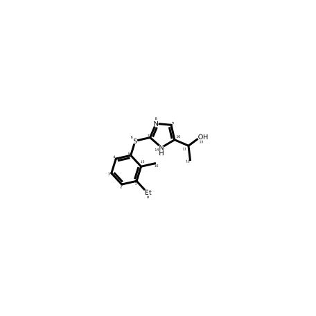 CCc1cccc(Sc2ncc(C(C)O)[nH]2)c1C